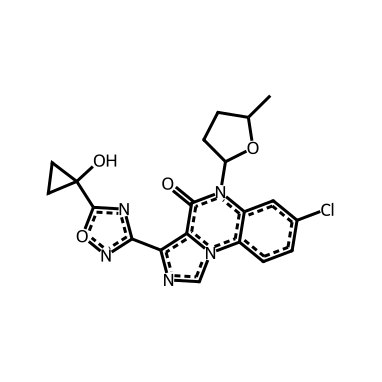 CC1CCC(n2c(=O)c3c(-c4noc(C5(O)CC5)n4)ncn3c3ccc(Cl)cc32)O1